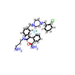 NCCCn1cc(-c2c(F)cccc2C(N)=O)c2cc(CN3CCN(Cc4ccccc4Cl)CC3)ccc21